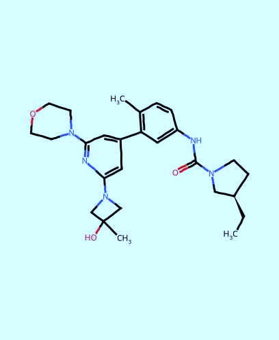 CC[C@@H]1CCN(C(=O)Nc2ccc(C)c(-c3cc(N4CCOCC4)nc(N4CC(C)(O)C4)c3)c2)C1